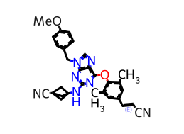 COc1ccc(Cn2cnc3c(Oc4c(C)cc(/C=C/C#N)cc4C)nc(NC45CC(C#N)(C4)C5)nc32)cc1